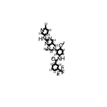 COc1ccc(NC(=O)c2cccc(C(F)(F)F)c2)cc1N1Cc2cnc(Nc3ccc(C)nc3)nc2N(C)C1